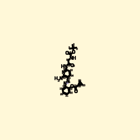 CC(C)(C)OC(=O)NCC(=O)Nc1ccc(/N=N/c2ccccc2OC(=O)C2CC2)c(N)n1